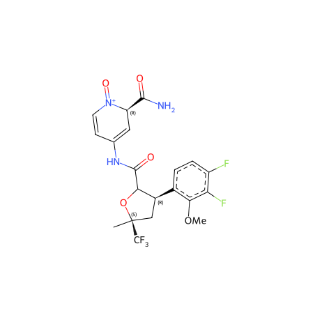 COc1c([C@H]2C[C@@](C)(C(F)(F)F)OC2C(=O)NC2=C[C@H](C(N)=O)[N+](=O)C=C2)ccc(F)c1F